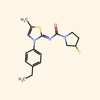 CCc1ccc(-n2cc(C)s/c2=N\C(=O)N2CC[C@@H](F)C2)cc1